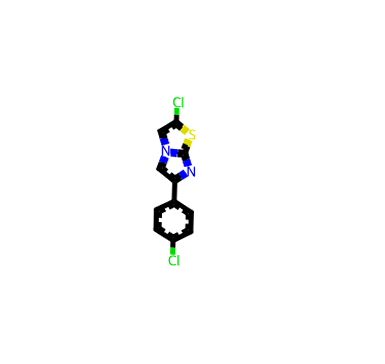 Clc1ccc(-c2cn3cc(Cl)sc3n2)cc1